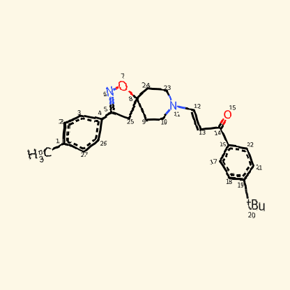 Cc1ccc(C2=NOC3(CCN(C=CC(=O)c4ccc(C(C)(C)C)cc4)CC3)C2)cc1